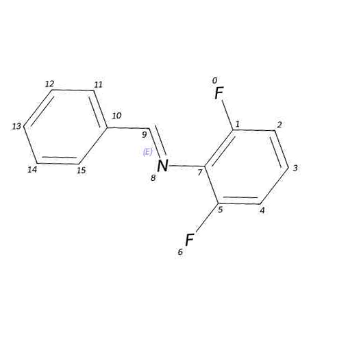 Fc1cccc(F)c1/N=C/c1ccccc1